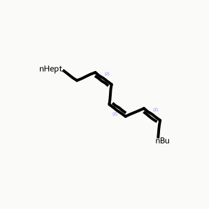 [CH2]CCCCCCC\C=C/C=C\C=C/CCCC